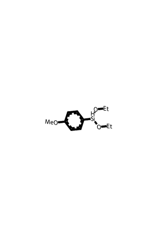 CCO[SiH](OCC)c1ccc(OC)cc1